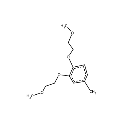 COCCOc1ccc(C)cc1OCCOC